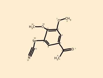 COc1cc(C(C)=O)cc([Se]C#N)c1OC